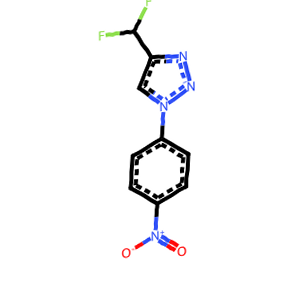 O=[N+]([O-])c1ccc(-n2cc(C(F)F)nn2)cc1